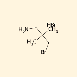 Br.CC(C)(CN)CBr